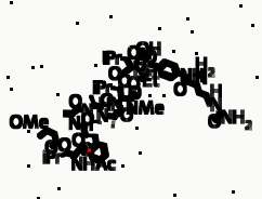 C=C(C(=O)N[C@@H](C)C(=O)N(C)[C@@H](C)C(=O)N[C@H](C(=O)NC)[C@H](OC(=O)[C@@H](NC(=O)CC)[C@H](OP(=O)(O)OCc1ccc(NC(=O)[C@@H](N)CCCNC(N)=O)cc1)C(C)C)C(C)C)N(C)C(=O)[C@@H](Cc1ccccc1)OC(=O)[C@@H](NC(C)=O)[C@H](OC(=O)C[C@@H](C)OC)C(C)C